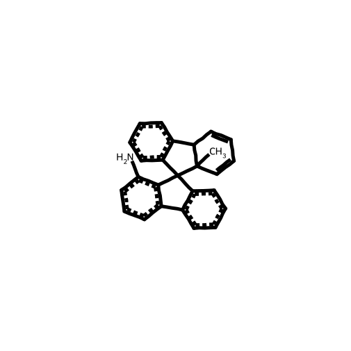 CC12C=CC=CC1c1ccccc1C21c2ccccc2-c2cccc(N)c21